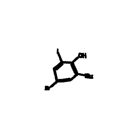 CC(C)(C)c1cc(Br)cc(I)c1O